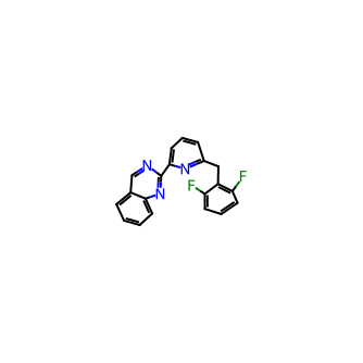 Fc1cccc(F)c1Cc1cccc(-c2ncc3ccccc3n2)n1